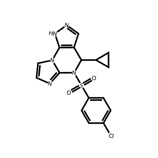 O=S(=O)(c1ccc(Cl)cc1)N1c2nccn2-c2[nH]ncc2C1C1CC1